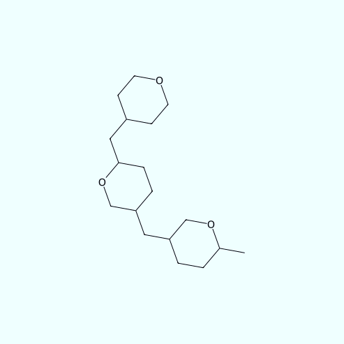 CC1CCC(CC2CCC(CC3CCOCC3)OC2)CO1